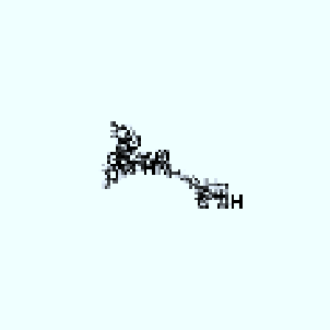 Cc1ccc(S(=O)(=O)CC(CS(=O)(=O)c2ccc(C)cc2)C(=O)c2ccc(C(=O)NCCCCCCNC(C=O)CCC(=O)O)cc2)cc1